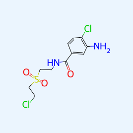 Nc1cc(C(=O)NCCS(=O)(=O)CCCl)ccc1Cl